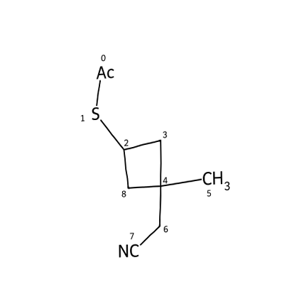 CC(=O)SC1CC(C)(CC#N)C1